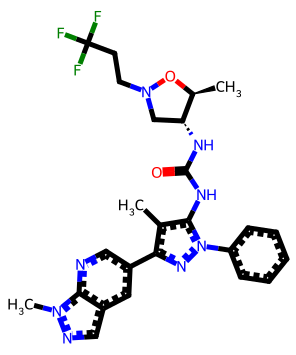 Cc1c(-c2cnc3c(cnn3C)c2)nn(-c2ccccc2)c1NC(=O)N[C@@H]1CN(CCC(F)(F)F)O[C@H]1C